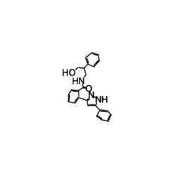 O=C(NCC(CO)c1ccccc1)c1ccccc1-c1cc(-c2ccccc2)[nH]n1